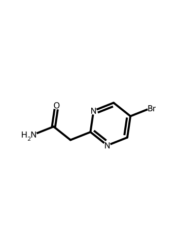 NC(=O)Cc1ncc(Br)cn1